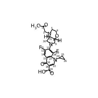 CC(=O)CN1CCO[C@@H]2CN(c3c(F)cc4c(=O)c(C(=O)O)cn(C5CC5)c4c3F)C[C@@H]21